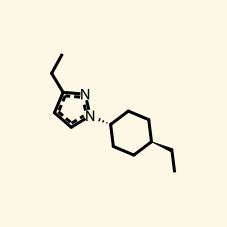 CCc1ccn([C@H]2CC[C@H](CC)CC2)n1